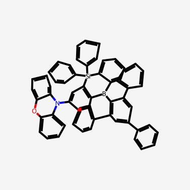 c1ccc(-c2cc(-c3ccccc3)c(B3c4ccccc4[Si](c4ccccc4)(c4ccccc4)c4cc(N5c6ccccc6Oc6ccccc65)ccc43)c(-c3ccccc3)c2)cc1